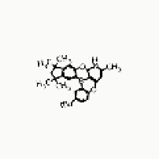 CC1=CC2=C3B(c4cc(C(C)(C)C)ccc4O2)c2cc4c(cc2OC3N1)C(C)(C)CC4(C)C